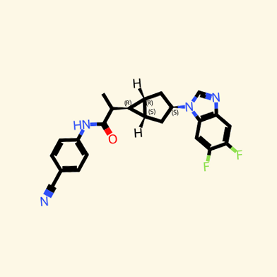 CC(C(=O)Nc1ccc(C#N)cc1)[C@H]1[C@@H]2C[C@@H](n3cnc4cc(F)c(F)cc43)C[C@@H]21